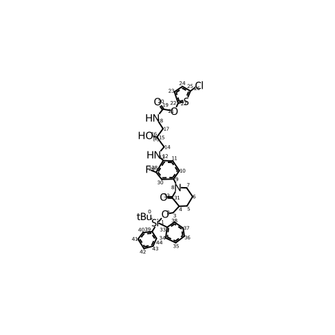 CC(C)(C)[Si](OCC1CCCN(c2ccc(NC[C@@H](O)CNC(=O)Oc3ccc(Cl)s3)c(F)c2)C1=O)(c1ccccc1)c1ccccc1